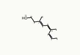 C\C=C/C(C)=C\C=C(/C)CCO